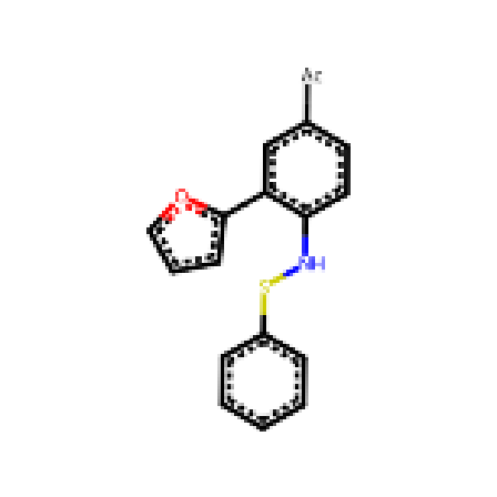 CC(=O)c1ccc(NSc2ccccc2)c(-c2ccco2)c1